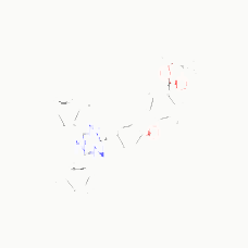 CC1(C)OB(c2ccc(Oc3ccc(-c4nc(-c5ccccc5)nc(-c5ccccc5)n4)cc3)cc2)OC1(C)C